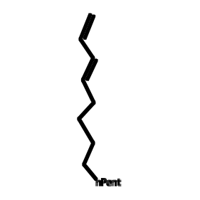 [CH2]CCCCCCCCC=CC=C